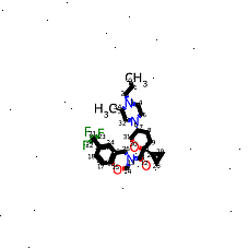 CCCN1CCN([C@@H]2CC[C@@](C(=O)N3COc4ccc(C(F)(F)F)cc4C3)(C3CC3)OC2)C[C@@H]1C